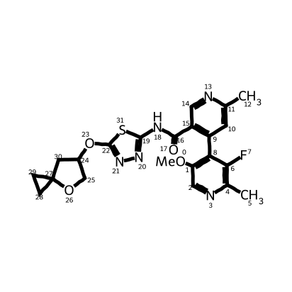 COc1cnc(C)c(F)c1-c1cc(C)ncc1C(=O)Nc1nnc(OC2COC3(CC3)C2)s1